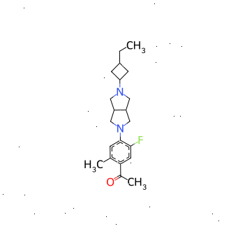 CCC1CC(N2CC3CN(c4cc(C)c(C(C)=O)cc4F)CC3C2)C1